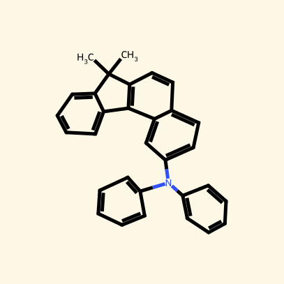 CC1(C)c2ccccc2-c2c1ccc1ccc(N(c3ccccc3)c3ccccc3)cc21